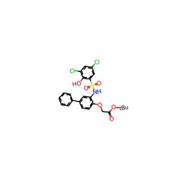 CC(C)(C)OC(=O)COc1ccc(-c2ccccc2)cc1NS(=O)(=O)c1cc(Cl)cc(Cl)c1O